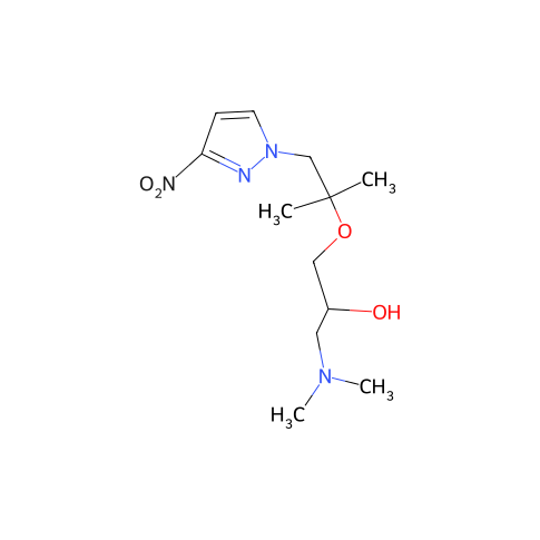 CN(C)CC(O)COC(C)(C)Cn1ccc([N+](=O)[O-])n1